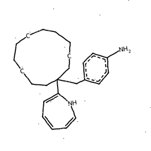 Nc1ccc(CC2(C3=CC=CC=CN3)CCCCCCCCCCC2)cc1